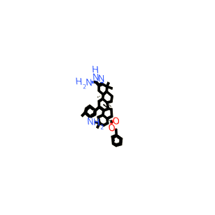 Cc1ccc(C2=C3C4CC(C)(C)CC[C@]4(C(=O)OCc4ccccc4)CC[C@@]3(C)[C@]3(C)CCC4C(C)(C)c5n[nH]c(N)c5C[C@]4(C)C3C2)cc1N